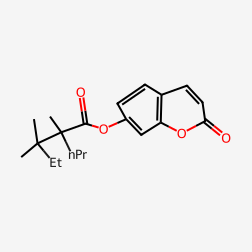 CCCC(C)(C(=O)Oc1ccc2ccc(=O)oc2c1)C(C)(C)CC